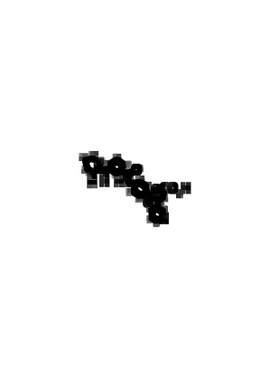 O=C(O)CC(c1cccnc1)S(=O)(=O)c1ccc(NC(=O)c2cccc(NC3=NCCCN3)c2)cc1